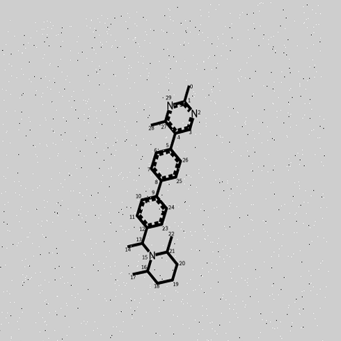 Cc1ncc(-c2ccc(-c3ccc(C(C)N4C(C)CCCC4C)cc3)cc2)c(C)n1